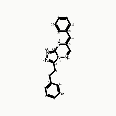 C1=Nn2c(CCc3ccccc3)nnc2S/C1=C\c1ccccc1